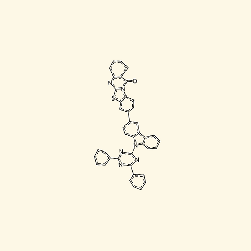 O=c1c2ccccc2nc2sc3cc(-c4ccc5c(c4)c4ccccc4n5-c4nc(-c5ccccc5)nc(-c5ccccc5)n4)ccc3n12